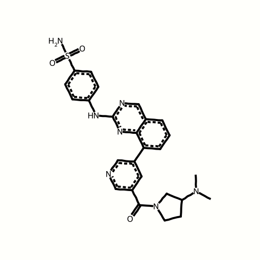 CN(C)C1CCN(C(=O)c2cncc(-c3cccc4cnc(Nc5ccc(S(N)(=O)=O)cc5)nc34)c2)C1